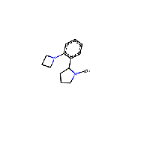 CC(C)(C)N1CCCC1c1ccccc1N1CCC1